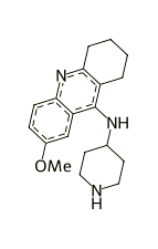 COc1ccc2nc3c(c(NC4CCNCC4)c2c1)CCCC3